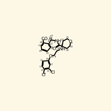 C[C@H](NC(=O)C1(NCCOc2ccc(Cl)c(Cl)c2)CCOCC1)c1ccccc1C(=O)O